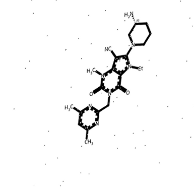 CCn1c(N2CCC[C@@H](N)C2)c(C#N)c2c1c(=O)n(Cc1nc(C)cc(C)n1)c(=O)n2C